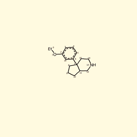 CCOc1cccc(C23CCCC2CNCC3)c1